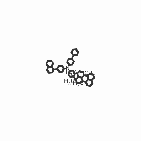 CC1C=CC2(C)C3=C1C(C)(c1ccc(N(c4ccc(-c5ccccc5)cc4)c4ccc(-c5cccc6ccccc56)cc4)cc1)C=CC3(C)c1cccc3cccc2c13